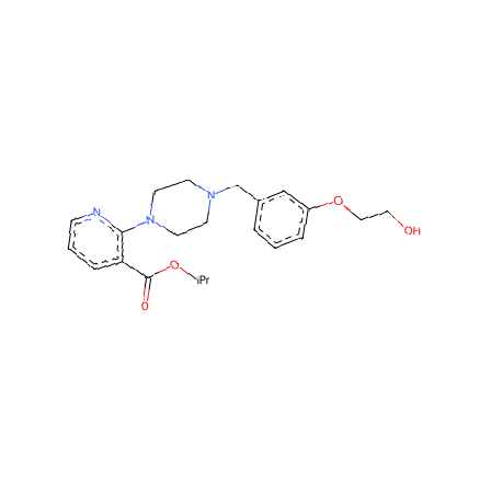 CC(C)OC(=O)c1cccnc1N1CCN(Cc2cccc(OCCO)c2)CC1